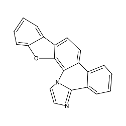 c1ccc2c(c1)oc1c2ccc2c3ccccc3c3nccn3c21